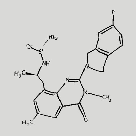 Cc1cc([C@@H](C)N[S@+]([O-])C(C)(C)C)c2nc(N3Cc4ccc(F)cc4C3)n(C)c(=O)c2c1